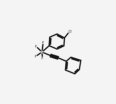 FS(F)(F)(F)(C#Cc1ccccc1)c1ccc(Cl)cc1